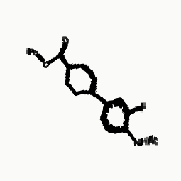 CC(=O)Nc1ccc(C2CCC(C(=O)OC(C)C)CC2)cc1F